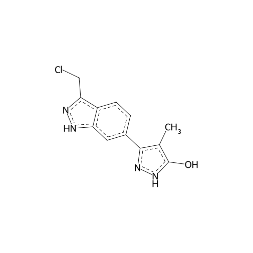 Cc1c(-c2ccc3c(CCl)n[nH]c3c2)n[nH]c1O